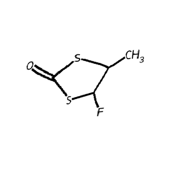 CC1SC(=O)SC1F